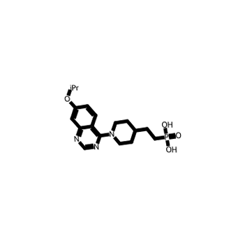 CC(C)Oc1ccc2c(N3CCC(CCP(=O)(O)O)CC3)ncnc2c1